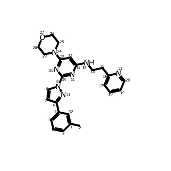 Cc1cccc(-c2ccn(-c3nc(NCCc4ccccn4)cc(N4CCOCC4)n3)n2)c1